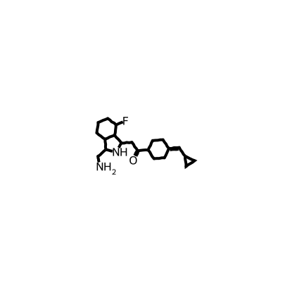 NCC1NC(CC(=O)C2CCC(=CC3CC3)CC2)C2C(F)CCCC12